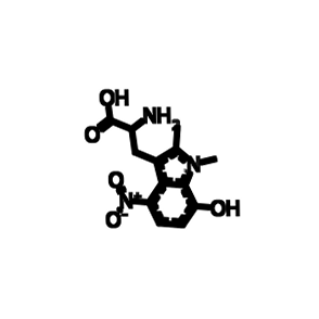 Cc1c(CC(N)C(=O)O)c2c([N+](=O)[O-])ccc(O)c2n1C